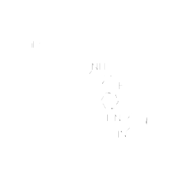 CCc1cc(NC2=CCC=CCC2=N)ccc1C(=O)CC(=N)CCCCCCC(C)C